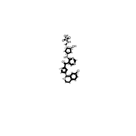 O=C(c1cc([C@@H]2OCCc3ccc(Cl)cc32)cs1)c1cncnc1N[C@@H]1C[C@H](CNS(=O)(=O)O)[C@@H](O)C1